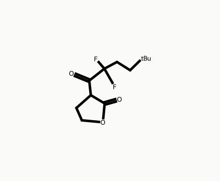 CC(C)(C)CCC(F)(F)C(=O)C1CCOC1=O